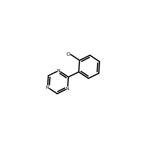 Clc1ccccc1-c1ncncn1